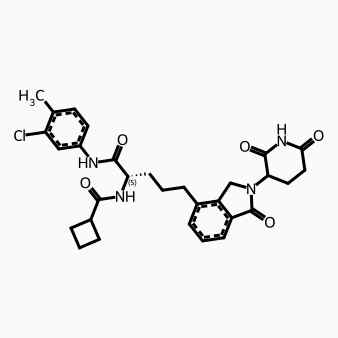 Cc1ccc(NC(=O)[C@H](CCCc2cccc3c2CN(C2CCC(=O)NC2=O)C3=O)NC(=O)C2CCC2)cc1Cl